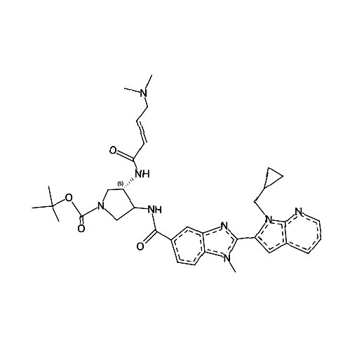 CN(C)CC=CC(=O)N[C@H]1CN(C(=O)OC(C)(C)C)CC1NC(=O)c1ccc2c(c1)nc(-c1cc3cccnc3n1CC1CC1)n2C